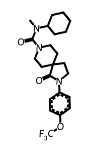 CN(C(=O)N1CCC2(CC1)CCN(c1ccc(OC(F)(F)F)cc1)C2=O)C1CCCCC1